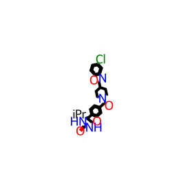 CC(C)C1(c2ccc(C(=O)N3CCC(c4nc5cc(Cl)ccc5o4)CC3)cc2)NC(=O)NC1=O